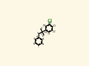 CC(C)([CH]c1ccccc1)c1cccc(Cl)c1